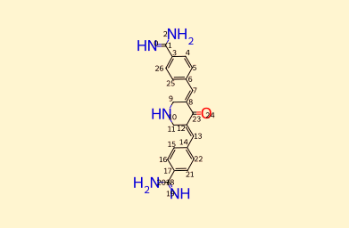 N=C(N)c1ccc(C=C2CNCC(=Cc3ccc(C(=N)N)cc3)C2=O)cc1